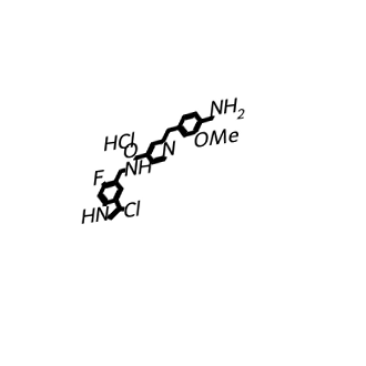 COc1cc(Cc2cc(C(=O)NCc3cc4c(Cl)c[nH]c4cc3F)ccn2)ccc1CN.Cl